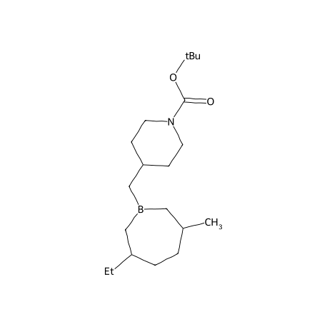 CCC1CCC(C)CB(CC2CCN(C(=O)OC(C)(C)C)CC2)C1